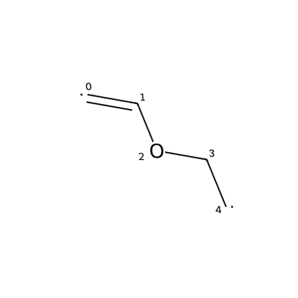 [CH]=COC[CH2]